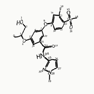 CC(CO)Oc1cc(Oc2ccc(S(C)(=O)=O)c(F)c2)cc(C(=O)Nc2ccn(C)n2)c1